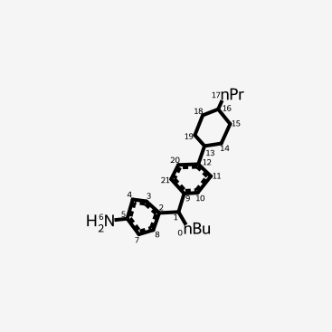 CCCCC(c1ccc(N)cc1)c1ccc(C2CCC(CCC)CC2)cc1